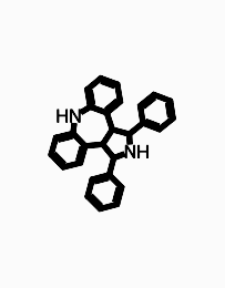 c1ccc(C2NC(c3ccccc3)C3c4ccccc4Nc4ccccc4C23)cc1